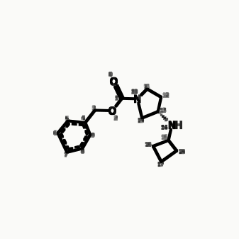 O=C(OCc1ccccc1)N1CC[C@H](NC2CCC2)C1